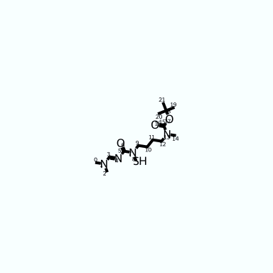 CN(C)C=NC(=O)N(S)CCCCN(C)C(=O)OC(C)(C)C